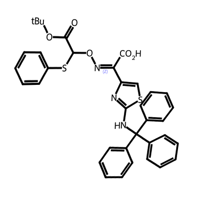 CC(C)(C)OC(=O)C(O/N=C(\C(=O)O)c1csc(NC(c2ccccc2)(c2ccccc2)c2ccccc2)n1)Sc1ccccc1